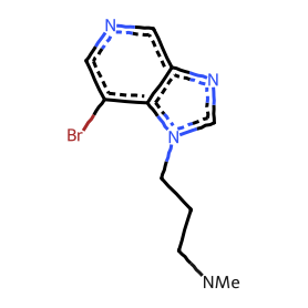 CNCCCn1cnc2cncc(Br)c21